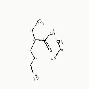 CCCCC(CC)C(=O)O.C[CH2][K]